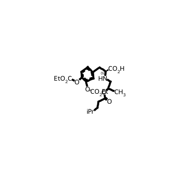 CCOC(=O)Oc1ccc(C[C@H](NCC(C)OC(=O)CCC(C)C)C(=O)O)cc1OC(=O)OCC